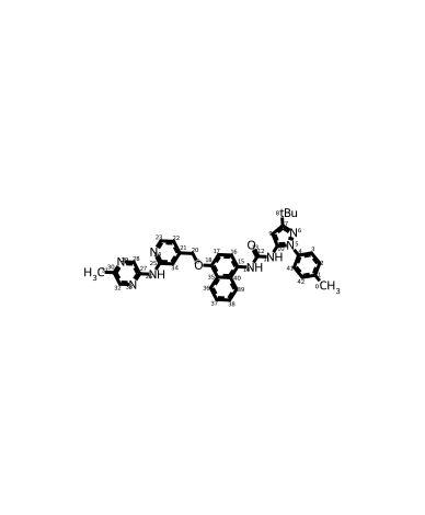 Cc1ccc(-n2nc(C(C)(C)C)cc2NC(=O)Nc2ccc(OCc3ccnc(Nc4cnc(C)cn4)c3)c3ccccc23)cc1